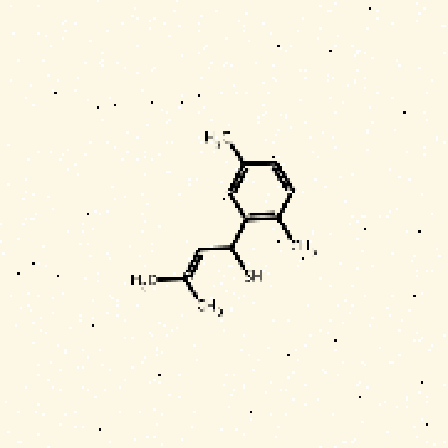 CC(C)=CC(S)c1cc(C)ccc1C